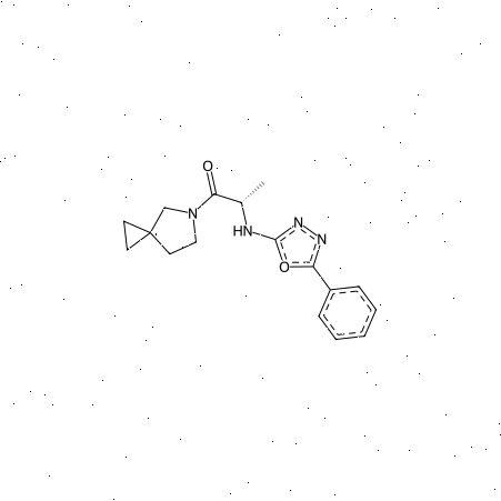 C[C@H](Nc1nnc(-c2ccccc2)o1)C(=O)N1CCC2(CC2)C1